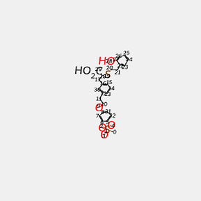 CS(=O)(=O)Oc1ccc(OCCc2cccc(CC(SCCc3ccccc3O)C(=O)O)c2)cc1